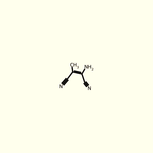 C/C(C#N)=C(\N)C#N